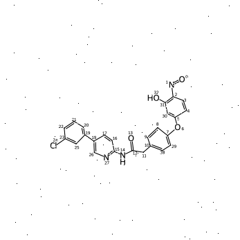 O=Nc1ccc(Oc2ccc(CC(=O)Nc3ccc(-c4cccc(Cl)c4)cn3)cc2)cc1O